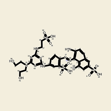 Nc1ccc2cc(S(=O)(=O)O)cc(O)c2c1/N=N/c1ccc(Nc2nc(NCCS(=O)(=O)O)nc(N(CCO)CCO)n2)cc1S(=O)(=O)O